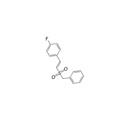 O=S(=O)(/C=C/c1ccc(F)cc1)Cc1ccccc1